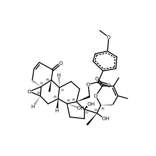 COc1ccc(C(=O)OC[C@]23CC[C@H]4[C@@H](C[C@H]5O[C@]56CC=CC(=O)[C@]46C)[C@]2(O)CC[C@@]3(O)[C@@](C)(O)[C@H]2CC(C)=C(C)C(=O)O2)cc1